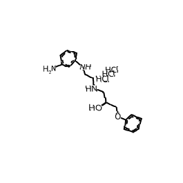 Cl.Cl.Cl.Nc1cccc(NCCNCC(O)COc2ccccc2)c1